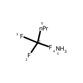 CCCC(F)(F)F.N